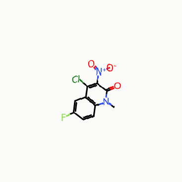 Cn1c(=O)c([N+](=O)[O-])c(Cl)c2cc(F)ccc21